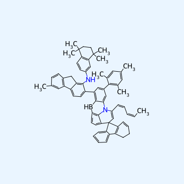 C/C=C\C=C/C1=CC2(C3=C(CCC=C3)c3ccccc32)c2cccc3c2N1c1cc(-c2c(C)cc(C)cc2C)cc(-c2ccc4c(c2Nc2ccc5c(c2)C(C)(C)CCC5(C)C)Cc2ccc(C)cc2-4)c1B3